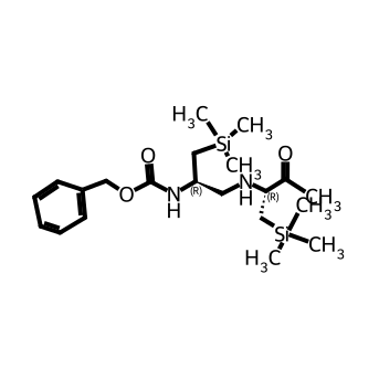 CC(=O)[C@H](C[Si](C)(C)C)NC[C@H](C[Si](C)(C)C)NC(=O)OCc1ccccc1